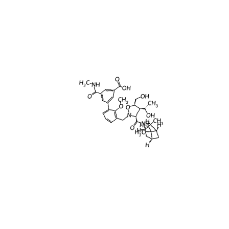 CNC(=O)c1cc(C(=O)O)cc(-c2cccc(CN3O[C@@H](CO)[C@@H]([C@H](C)O)[C@H]3C(=O)N[C@H]3C[C@H]4C[C@@H]([C@@H]3C)C4(C)C)c2OC)c1